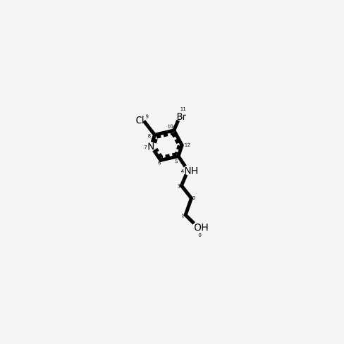 OCCCNc1cnc(Cl)c(Br)c1